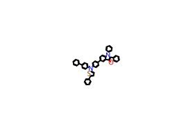 c1ccc(-c2ccc(N(c3ccc(-c4ccc5c(c4)c4oc6ccccc6c4n5-c4ccccc4)cc3)c3ccc(-c4ccccc4)s3)cc2)cc1